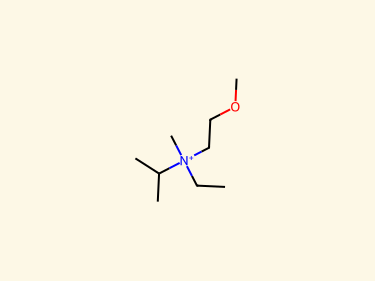 CC[N+](C)(CCOC)C(C)C